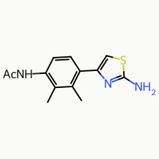 CC(=O)Nc1ccc(-c2csc(N)n2)c(C)c1C